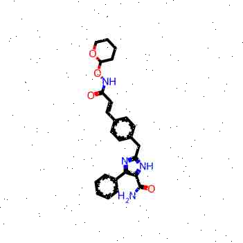 NC(=O)c1[nH]c(Cc2ccc(/C=C/C(=O)NOC3CCCCO3)cc2)nc1-c1ccccc1